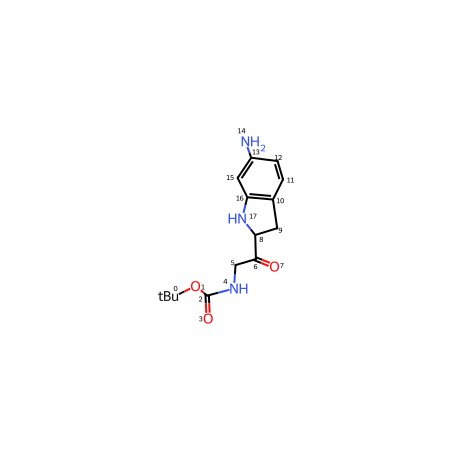 CC(C)(C)OC(=O)NCC(=O)C1Cc2ccc(N)cc2N1